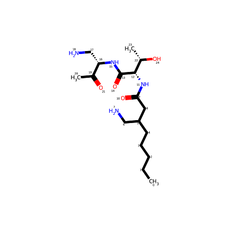 CCCCCC(CN)CC(=O)N[C@H](C(=O)N[C@@H](CN)C(C)=O)[C@H](C)O